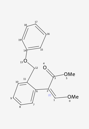 CO/C=C(\C(=O)OC)c1ccccc1COc1ccccc1